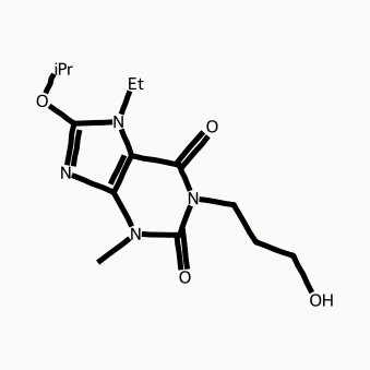 CCn1c(OC(C)C)nc2c1c(=O)n(CCCO)c(=O)n2C